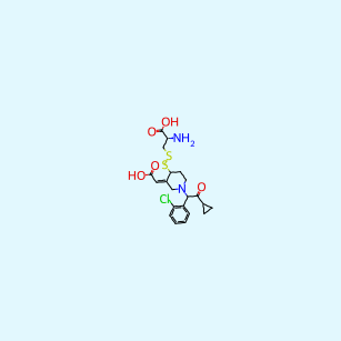 N[C@@H](CSSC1CCN(C(C(=O)C2CC2)c2ccccc2Cl)C/C1=C/C(=O)O)C(=O)O